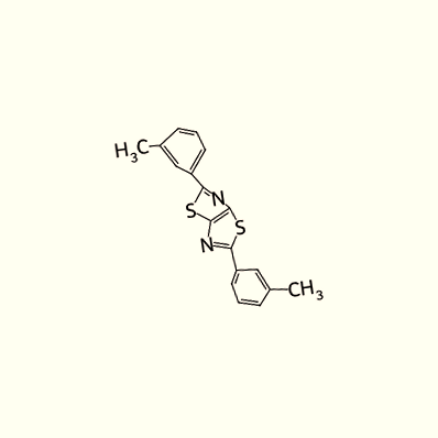 Cc1cccc(-c2nc3sc(-c4cccc(C)c4)nc3s2)c1